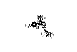 CCc1cc(C)ccc1-c1cc2c(cnn2COCC[Si](C)(C)C)c(OS(=O)(=O)C(F)(F)F)n1